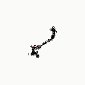 C[C@@H](NC(=O)c1cccc(NC2(c3nnc(-c4ccncc4)[nH]3)CCNCC2)c1)c1ccc(OCCCCCCOCCOCCOCCC(=O)N2CCN(c3ccc4c(c3)CN(C3CCC(=O)NC3=O)C4=O)CC2)cc1